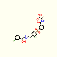 C[C@@H](NC(=O)c1cccc(S(=O)(=O)c2ccc(CCNC[C@@H](O)c3cccc(Cl)c3)cc2)c1)C(=O)O.Cl